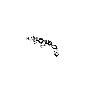 NS(=O)(=O)NC(=O)c1ccc(NC(=O)c2csc(N3CCC(Oc4ncccn4)CC3)n2)c(OC(F)(F)F)c1